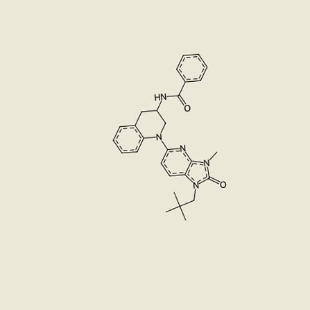 Cn1c(=O)n(CC(C)(C)C)c2ccc(N3CC(NC(=O)c4ccccc4)Cc4ccccc43)nc21